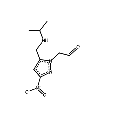 CC(C)NCc1cc([N+](=O)[O-])nn1CC=O